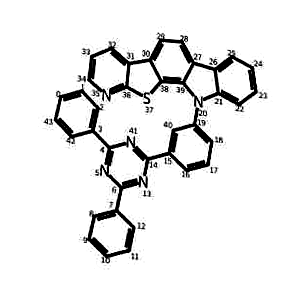 c1ccc(-c2nc(-c3ccccc3)nc(-c3cccc(-n4c5ccccc5c5ccc6c7cccnc7sc6c54)c3)n2)cc1